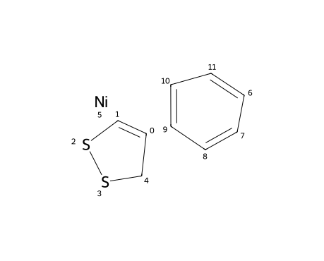 C1=CSSC1.[Ni].c1ccccc1